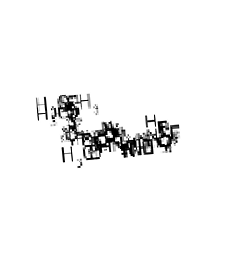 COc1cc2c(Nc3cc(CC(=O)Nc4cccc(F)c4F)[nH]n3)ncnc2cc1OC[C@H]1CCCN1CCOC(C)(C)C